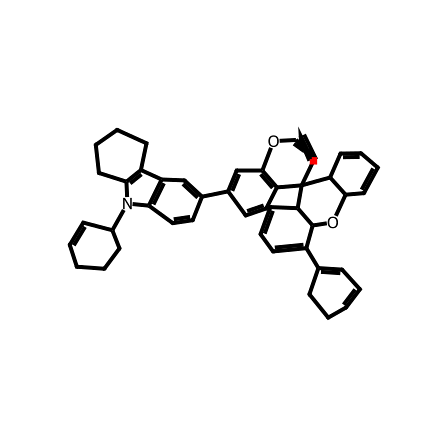 C1=CCCC(C2=CC=CC3C2OC2C=CC=CC2C32c3ccccc3Oc3cc(-c4ccc5c(c4)c4c(n5C5C=CCCC5)CCCC4)ccc32)=C1